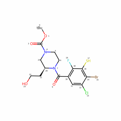 CC(C)(C)OC(=O)N1CCN(C(=O)c2cc(Cl)c(Br)c(S)c2F)[C@@H](CCO)C1